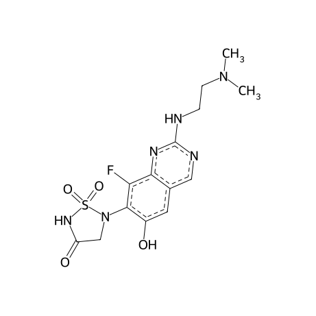 CN(C)CCNc1ncc2cc(O)c(N3CC(=O)NS3(=O)=O)c(F)c2n1